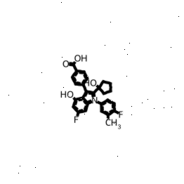 Cc1cc(-n2c(C3(O)CCCC3)c(-c3ccc(C(=O)O)cc3)c3c(O)cc(F)cc32)ccc1F